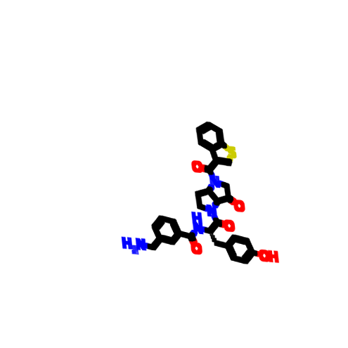 NCc1cccc(C(=O)N[C@@H](Cc2ccc(O)cc2)C(=O)N2CCC3C2C(=O)CN3C(=O)c2csc3ccccc23)c1